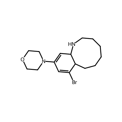 BrC1=CC(N2CCOCC2)=CC2NCCCCCCC12